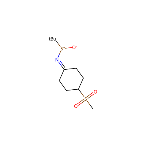 CC(C)(C)[S+]([O-])N=C1CCC(S(C)(=O)=O)CC1